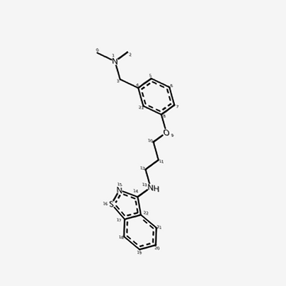 CN(C)Cc1cccc(OCCCNc2nsc3ccccc23)c1